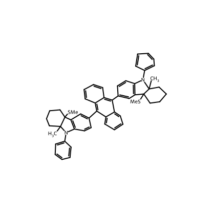 CSC12CCCCC1(C)N(c1ccccc1)c1ccc(-c3c4ccccc4c(-c4ccc5c(c4)C4(SC)CCCCC4(C)N5c4ccccc4)c4ccccc34)cc12